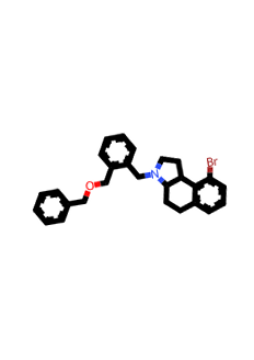 Brc1cccc2c1C1CCN(Cc3ccccc3COCc3ccccc3)C1CC2